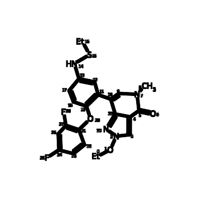 CCOn1cc2c(=O)n(C)cc(-c3cc(NSCC)ccc3Oc3ccc(F)cc3F)c2n1